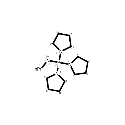 CCCN[PH](N1CCCC1)(N1CCCC1)N1CCCC1